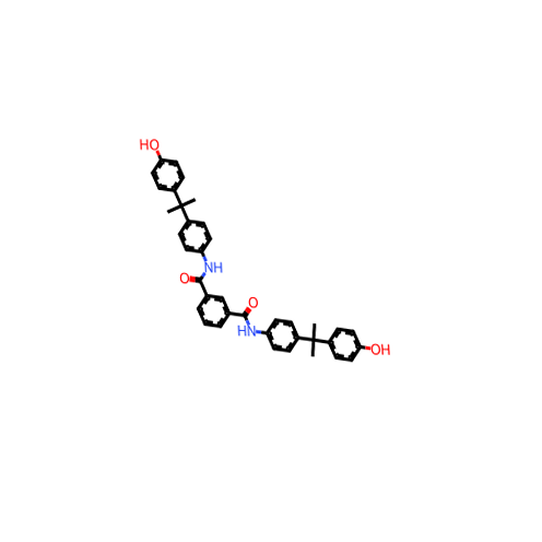 CC(C)(c1ccc(O)cc1)c1ccc(NC(=O)c2cccc(C(=O)Nc3ccc(C(C)(C)c4ccc(O)cc4)cc3)c2)cc1